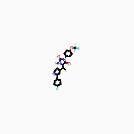 CC(c1ccnc(-c2ccc(F)cc2)c1)C1NC(=O)N(c2ccc(OC(F)(F)F)cc2)C1=O